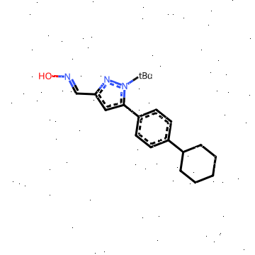 CC(C)(C)n1nc(C=NO)cc1-c1ccc(C2CCCCC2)cc1